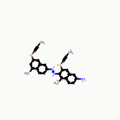 CC#CSc1cc(C)c2ccc(/N=N/c3c(SC#CC)cc4cc(N)ccc4c3C)cc2c1